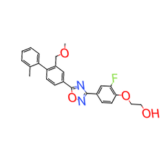 COCc1cc(-c2nc(-c3ccc(OCCO)c(F)c3)no2)ccc1-c1ccccc1C